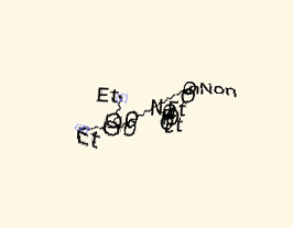 CC/C=C\CCCCOC(CCC(=O)OCCCCCCN(CCCCCCCC(=O)OCCCCCCCCC)CCCP(=O)(OCC)OCC)OCCCC/C=C\CC